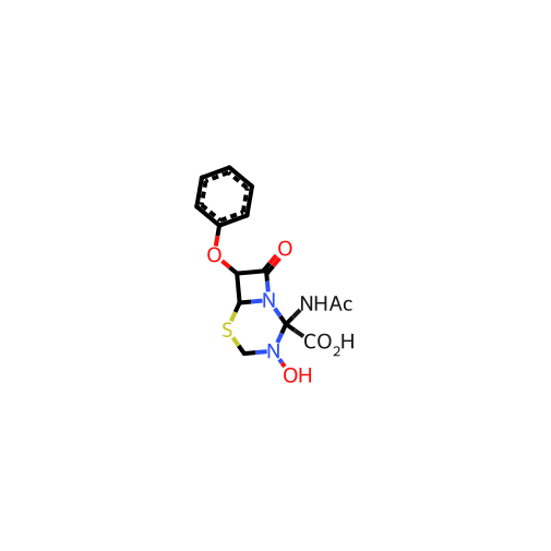 CC(=O)NC1(C(=O)O)N(O)CSC2C(Oc3ccccc3)C(=O)N21